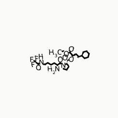 CCOC(=O)C(CCC1CCCCC1)OC(=O)[C@@H]1CCCN1C(=O)[C@@H](N)CCCCNC(=O)C(F)(F)F